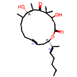 CCCC/C=C(\C)[C@@H]1C/C=C/CCCC(C)[C@H](O)C(C)C(=O)C(C)(C)C(O)CC(=O)O1